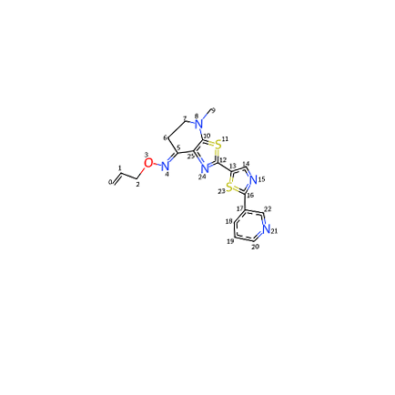 C=CCO/N=C1\CCN(C)c2sc(-c3cnc(-c4cccnc4)s3)nc21